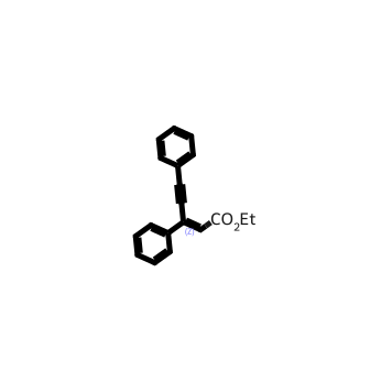 CCOC(=O)/C=C(\C#Cc1ccccc1)c1ccccc1